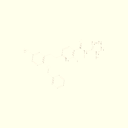 O=C(Nc1nnn[nH]1)c1ccc(CCc2cc(Br)ccc2OCc2ccccc2)nc1Cl